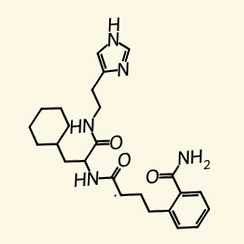 NC(=O)c1ccccc1CC[CH]C(=O)NC(CC1CCCCC1)C(=O)NCCc1c[nH]cn1